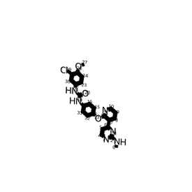 CNc1nccc(-c2cccnc2Oc2ccc(NC(=O)Nc3ccc(OC)c(Cl)c3)cc2)n1